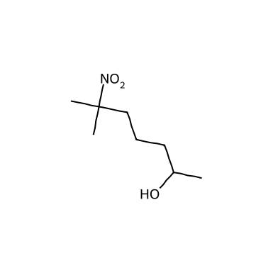 CC(O)CCCC(C)(C)[N+](=O)[O-]